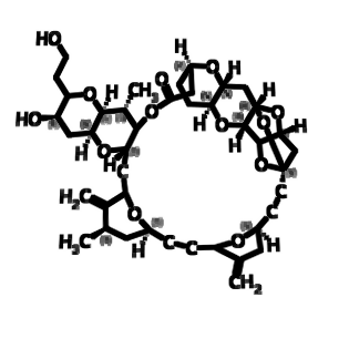 C=C1C[C@@H]2CC[C@@]34C[C@H]5O[C@H]6C(O3)[C@H]3O[C@H](CC[C@@H]3O[C@H]6C5O4)CC(=O)OC3[C@H](CC4O[C@@H](CCC1O2)C[C@@H](C)C4=C)O[C@H]1C[C@@H](O)C(CCO)O[C@H]1[C@@H]3C